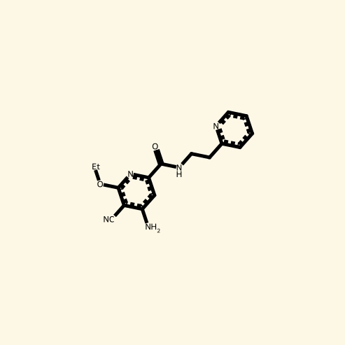 CCOc1nc(C(=O)NCCc2ccccn2)cc(N)c1C#N